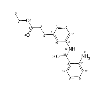 CCOC(=O)CCc1cccc(NC(=O)c2ccccc2N)c1